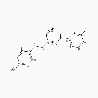 CC(=O)c1cnc(OC/C(=C/Nc2cccc(C)c2)N=N)nc1